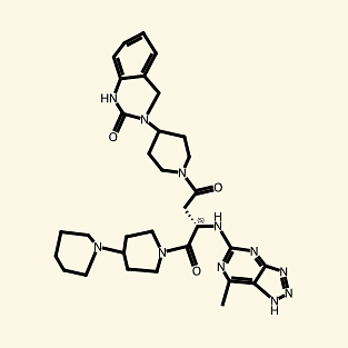 Cc1nc(N[C@@H](CC(=O)N2CCC(N3Cc4ccccc4NC3=O)CC2)C(=O)N2CCC(N3CCCCC3)CC2)nc2nn[nH]c12